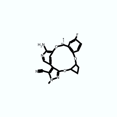 C[C@H]1Oc2cc(cnc2N)-c2c(nn(C)c2C#N)OC2CCC2Oc2ccc(F)cc21